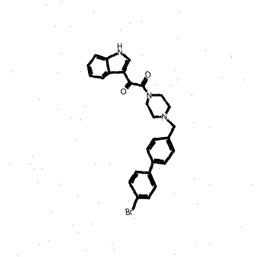 O=C(C(=O)N1CCN(Cc2ccc(-c3ccc(Br)cc3)cc2)CC1)c1c[nH]c2ccccc12